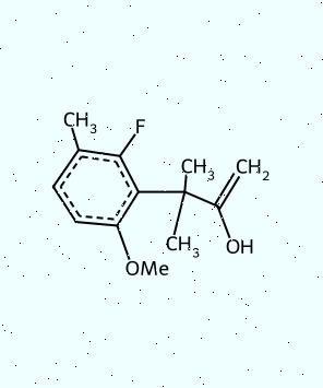 C=C(O)C(C)(C)c1c(OC)ccc(C)c1F